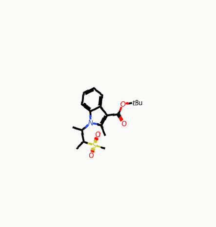 Cc1c(C(=O)OC(C)(C)C)c2ccccc2n1C(C)C(C)S(C)(=O)=O